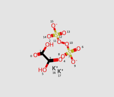 O=C(O)C(=O)O.O=S(=O)([O-])OOS(=O)(=O)[O-].[K+].[K+]